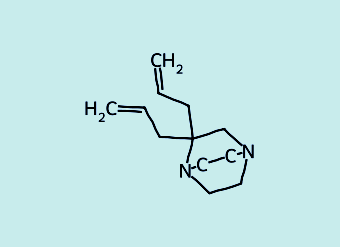 C=CCC1(CC=C)CN2CCN1CC2